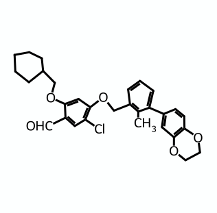 Cc1c(COc2cc(OCC3CCCCC3)c(C=O)cc2Cl)cccc1-c1ccc2c(c1)OCCO2